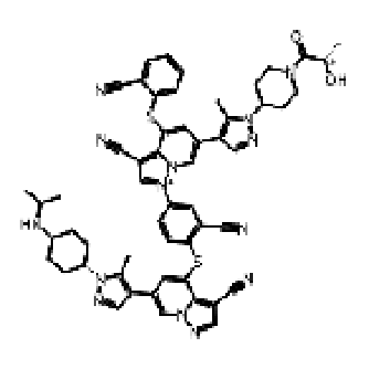 Cc1c(-c2cc(Sc3ccccc3C#N)c3c(C#N)c[n+](-c4ccc(Sc5cc(-c6cnn([C@H]7CC[C@H](NC(C)C)CC7)c6C)cn6ncc(C#N)c56)c(C#N)c4)n3c2)cnn1C1CCN(C(=O)[C@H](C)O)CC1